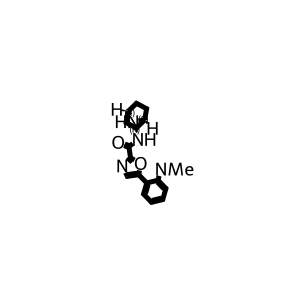 CNc1ccccc1-c1cnc(C(=O)N[C@@H]2C[C@H]3CC[C@@H]2N3)o1